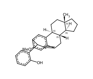 COc1cc2c3cc1C(c1ccccc1O)N=C2C[C@@H]1[C@@H]3CC[C@]2(C)CCC[C@@H]12